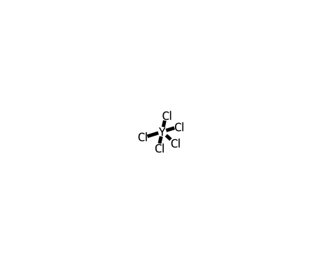 [Cl][Y]([Cl])([Cl])([Cl])[Cl]